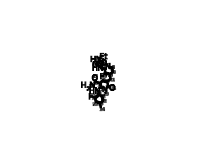 CCNS(=O)(=O)Nc1nccc(Cc2cc(C(N)=O)c(Nc3ccc(C)cc3F)n(C)c2=O)c1F